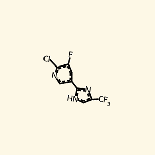 Fc1cc(-c2nc(C(F)(F)F)c[nH]2)cnc1Cl